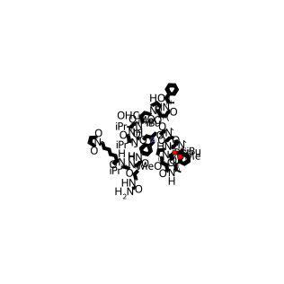 CC[C@H](C)[C@@H]([C@H](C=O)CC(=O)N1CCC[C@H]1[C@H](OC)[C@@H](C)C(=O)N[C@H](C)[C@@H](O)c1ccccc1)N(C)C(=O)[C@@H](NC(=O)[C@H](C(C)C)N(C)C(=O)OC/C(=C\c1ccc(NC(=O)[C@H](CCCNC(N)=O)NC(=O)[C@@H](NC(=O)CCCCCN2C(=O)C=CC2=O)C(C)C)cc1)COC(=O)N(C)C(C)C(=O)N[C@H](C(=O)N(C)[C@@H]([C@@H](C)CC)[C@@H](CC(=O)N1CCC[C@H]1[C@H](OC)[C@H]1O[C@@H](c2ccccc2)[C@@H](C)NC1=O)OC)C(C)C)C(C)C